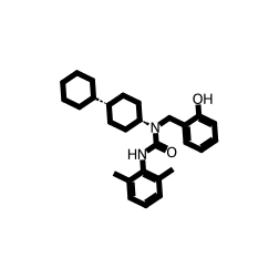 Cc1cccc(C)c1NC(=O)N(Cc1ccccc1O)[C@H]1CC[C@@H](C2CCCCC2)CC1